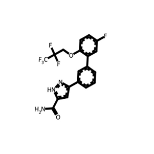 NC(=O)c1cc(-c2cccc(-c3cc(F)ccc3OCC(F)(F)C(F)(F)F)c2)n[nH]1